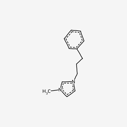 C[n+]1ccn(CCCc2ccccc2)c1